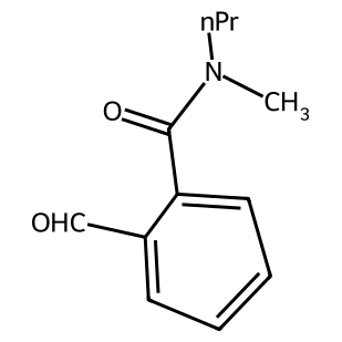 CCCN(C)C(=O)c1ccccc1C=O